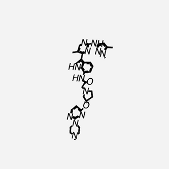 Cc1cnc(Nc2cc(C)n(C)n2)nc1-c1c[nH]c2c(NC(=O)CN3CC[C@H](Oc4ccnc(N5CCN(C)CC5)n4)C3)cccc12